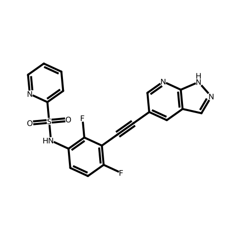 O=S(=O)(Nc1ccc(F)c(C#Cc2cnc3[nH]ncc3c2)c1F)c1ccccn1